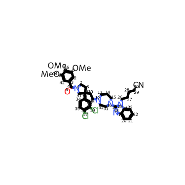 COc1cc(C(=O)N2CCC(CCN3CCCN(c4nc5ccccc5n4CCCCC#N)CC3)(c3ccc(Cl)c(Cl)c3)C2)cc(OC)c1OC